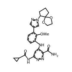 COc1c(Nc2cc(NC(=O)C3CC3)nnc2C(N)=O)cccc1-c1cnn(C2CCCC23OCCO3)c1